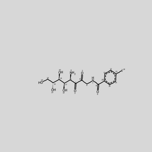 N[C@@H](C(=O)C(=O)CNC(=O)c1ccc(I)cc1)[C@@H](O)[C@H](O)[C@H](O)CO